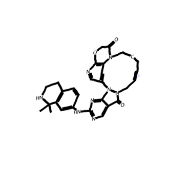 CC1(C)NCCc2ccc(Nc3ncc4c(=O)n5n(c4n3)-c3cnc4c(c3)N(CCC/C=C\C5)C(=O)CO4)cc21